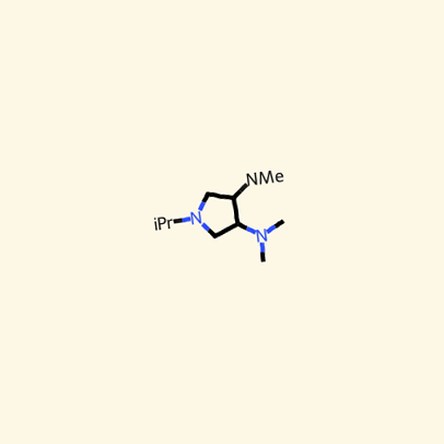 CNC1CN(C(C)C)CC1N(C)C